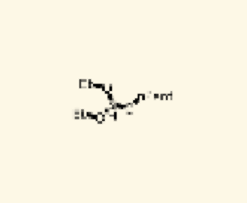 CCCCCO[SiH](OCC)OCC